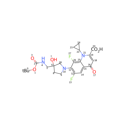 CC(C)(C)OC(=O)NCC1(O)CCN(c2c(F)cc3c(=O)cc(C(=O)O)n(C4CC4)c3c2F)C1